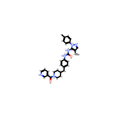 Cc1ccc(-n2ncc(C(C)(C)C)c2NC(=O)Nc2ccc(CC3CCN(C(=O)c4cccnc4)CC3)cc2)cc1